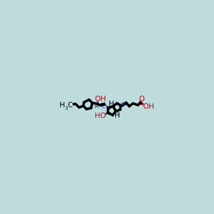 CCCC1CCC([C@@H](O)/C=C/[C@@H]2[C@H]3C/C(=C/CCCC(=O)O)C[C@@H]3C[C@H]2O)CC1